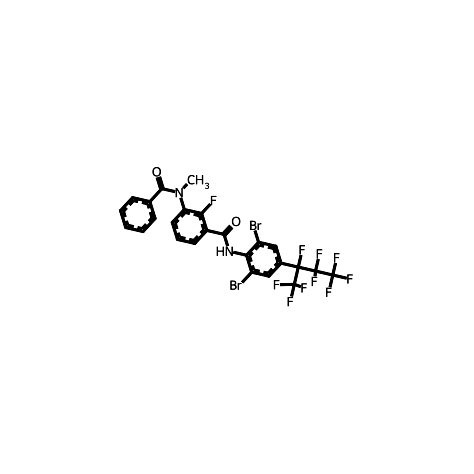 CN(C(=O)c1ccccc1)c1cccc(C(=O)Nc2c(Br)cc(C(F)(C(F)(F)F)C(F)(F)C(F)(F)F)cc2Br)c1F